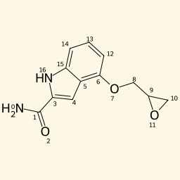 NC(=O)c1cc2c(OCC3CO3)cccc2[nH]1